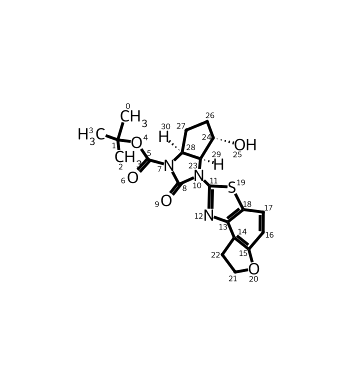 CC(C)(C)OC(=O)N1C(=O)N(c2nc3c4c(ccc3s2)OCC4)[C@@H]2[C@@H](O)CC[C@@H]21